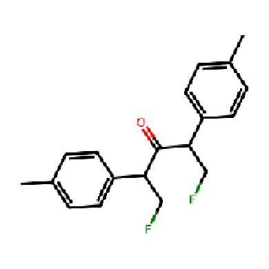 Cc1ccc(C(CF)C(=O)C(CF)c2ccc(C)cc2)cc1